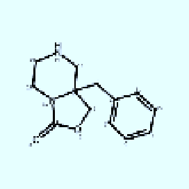 O=C1OCC2(Cc3ccccc3)CNCCN12